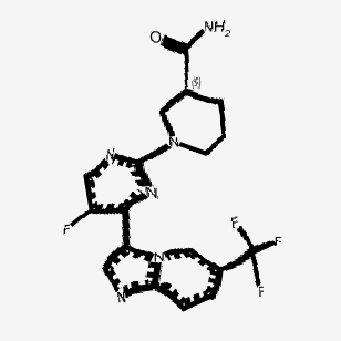 NC(=O)[C@H]1CCCN(c2ncc(F)c(-c3cnc4ccc(C(F)(F)F)cn34)n2)C1